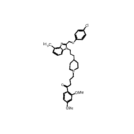 COc1ccc(C(=O)CCCN2CCC(CCCn3c(COc4ccc(Cl)cc4)nc4c(C)cccc43)CC2)c(OC)c1